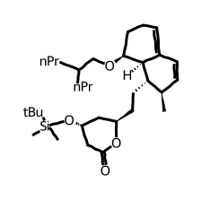 CCCC(CCC)CO[C@H]1CCC=C2C=C[C@@H](C)[C@H](CC[C@@H]3C[C@@H](O[Si](C)(C)C(C)(C)C)CC(=O)O3)[C@H]21